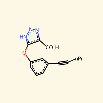 CCCC#Cc1cccc(Oc2[nH]nnc2C(=O)O)c1